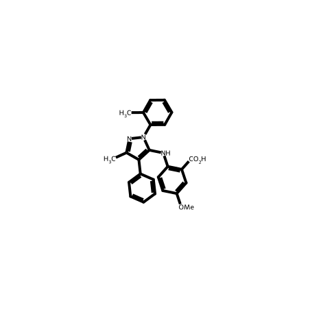 COc1ccc(Nc2c(-c3ccccc3)c(C)nn2-c2ccccc2C)c(C(=O)O)c1